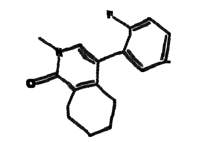 Cn1cc(-c2c[c]ccc2F)c2c(c1=O)CCCC2